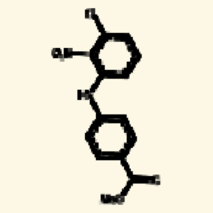 COC(=O)c1ccc(Nc2cccc(Cl)c2[N+](=O)[O-])cc1